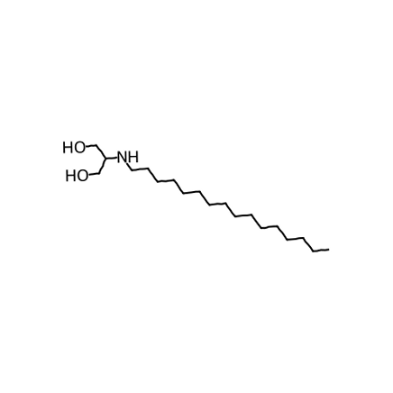 CCCCCCCCCCCCCCCCNC(CO)CO